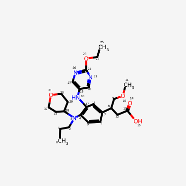 CCCN(c1ccc(C(COC)CC(=O)O)cc1Nc1cnc(OCC)nc1)C1CCOCC1